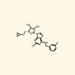 OC1C(O)[C@@H](COC2CC2)O[C@H]1n1cnc2c(NCc3cccc(I)c3)nc(Cl)nc21